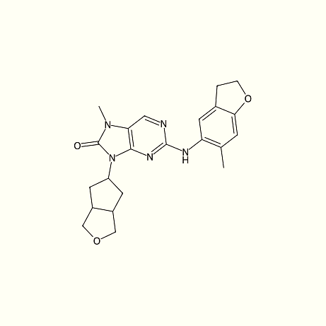 Cc1cc2c(cc1Nc1ncc3c(n1)n(C1CC4COCC4C1)c(=O)n3C)CCO2